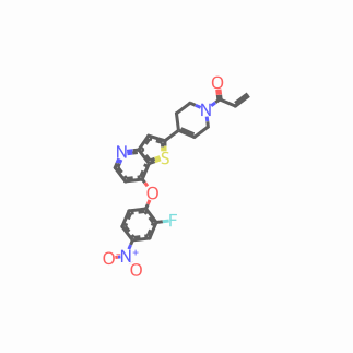 C=CC(=O)N1CC=C(c2cc3nccc(Oc4ccc([N+](=O)[O-])cc4F)c3s2)CC1